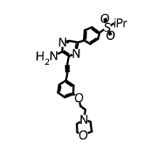 CC(C)S(=O)(=O)c1ccc(-c2cnc(N)c(C#Cc3cccc(OCCN4CCOCC4)c3)n2)cc1